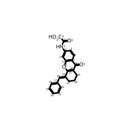 O=C(O)C(=O)Nc1ccc2c(=O)c3c(oc2c1)C(=Cc1ccccc1)CCC3